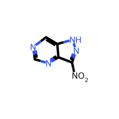 O=[N+]([O-])c1n[nH]c2cncnc12